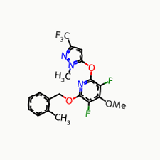 COc1c(F)c(OCc2ccccc2C)nc(Oc2cc(C(F)(F)F)nn2C)c1F